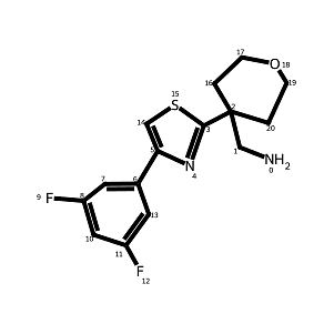 NCC1(c2nc(-c3cc(F)cc(F)c3)cs2)CCOCC1